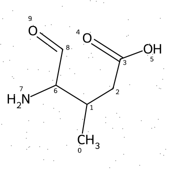 CC(CC(=O)O)C(N)C=O